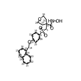 O=C(NO)C1(CS(=O)(=O)c2ccc(OCc3ccnc4ccccc34)cc2)CCOCC1